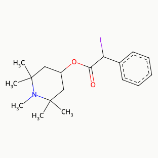 CN1C(C)(C)CC(OC(=O)C(I)c2ccccc2)CC1(C)C